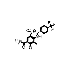 Cc1c(Cl)c(C(N)=O)cc([N+](=O)[O-])c1NC[C@H]1CC[C@H](C(F)(F)F)CC1